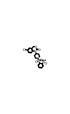 CS(=O)(=O)c1ccccc1S(=O)(=O)N1CCC(N2C(=O)OCc3cc(Cl)ccc32)CC1